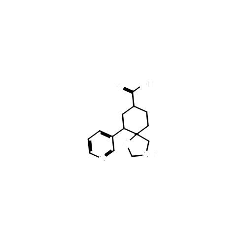 O=C(O)C1CCC2(CNCO2)C(c2cccnc2)C1